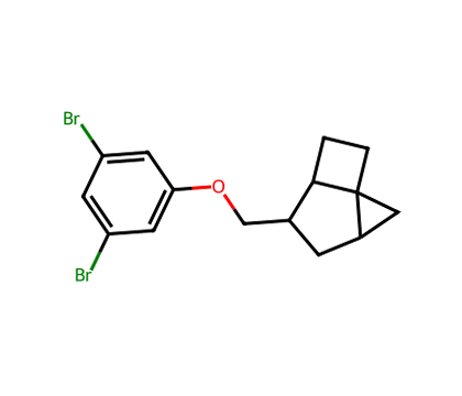 Brc1cc(Br)cc(OCC2CC3CC34CCC24)c1